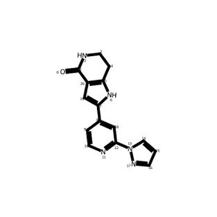 O=C1NCCc2[nH]c(-c3ccnc(-n4cccn4)c3)cc21